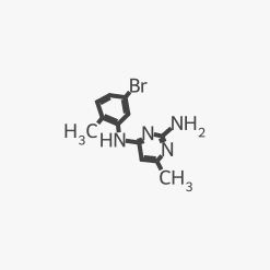 Cc1cc(Nc2cc(Br)ccc2C)nc(N)n1